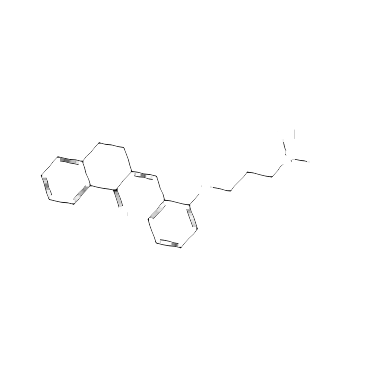 CN(C)CCCOc1ccccc1C=C1CCc2ccccc2C1=O